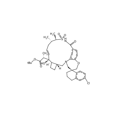 C[C@@H]1[C@@H](C)C/C=C/[C@@](O)([C@@H](C)C(=O)OC(C)(C)C)[C@@H]2CC[C@H]2CN2C[C@@]3(CCCc4cc(Cl)ccc43)COc3ccc(cc32)C(=O)NS1(=O)=O